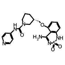 NC1=NS(=O)(=O)Nc2cccc(OC[C@H]3CCCN(C(=O)Nc4ccncc4)C3)c21